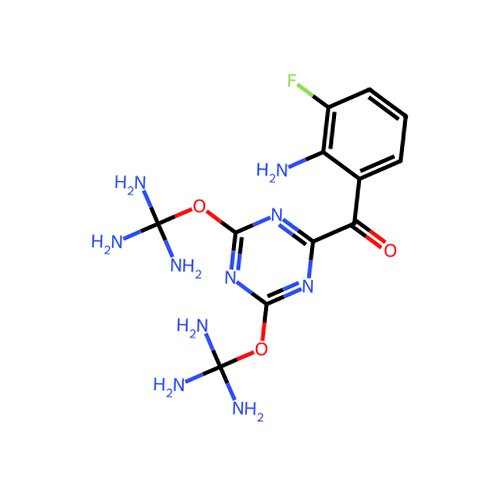 Nc1c(F)cccc1C(=O)c1nc(OC(N)(N)N)nc(OC(N)(N)N)n1